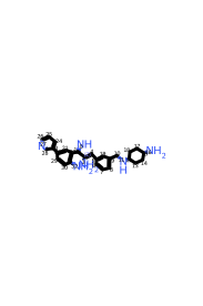 N=C(/C(N)=C/c1cccc(CNC2CCC(N)CC2)c1)c1cc(-c2cccnc2)ccc1N